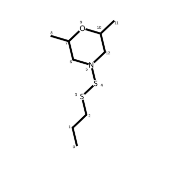 CCCSSN1CC(C)OC(C)C1